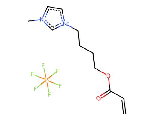 C=CC(=O)OCCCC[n+]1ccn(C)c1.F[P-](F)(F)(F)(F)F